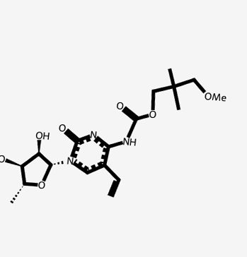 C=Cc1cn([C@@H]2O[C@H](C)[C@@H](O)[C@H]2O)c(=O)nc1NC(=O)OCC(C)(C)COC